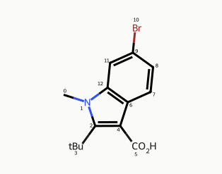 Cn1c(C(C)(C)C)c(C(=O)O)c2ccc(Br)cc21